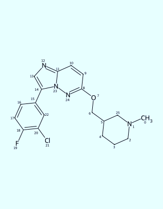 CN1CCCC(COc2ccc3ncc(-c4ccc(F)c(Cl)c4)n3n2)C1